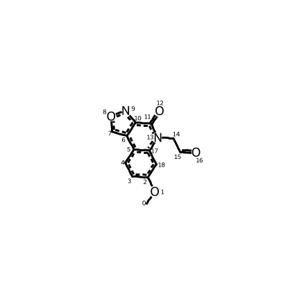 COc1ccc2c3conc3c(=O)n(CC=O)c2c1